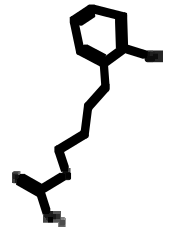 NC(=S)SCCCCc1ccccc1O